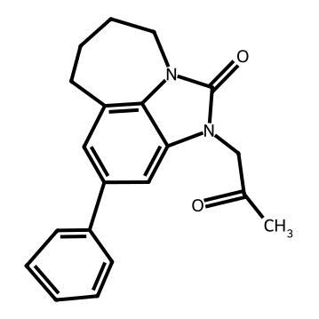 CC(=O)Cn1c(=O)n2c3c(cc(-c4ccccc4)cc31)CCCC2